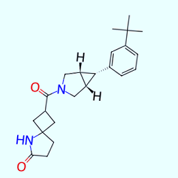 CC(C)(C)c1cccc([C@@H]2[C@@H]3CN(C(=O)C4CC5(CCC(=O)N5)C4)C[C@@H]32)c1